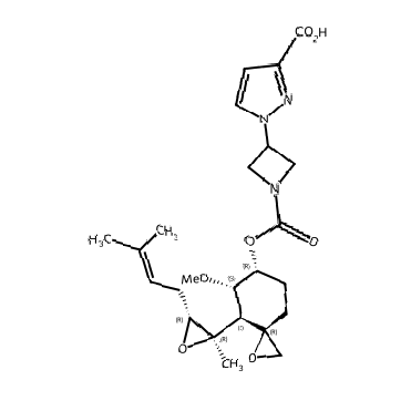 CO[C@@H]1[C@H](OC(=O)N2CC(n3ccc(C(=O)O)n3)C2)CC[C@]2(CO2)[C@H]1[C@@]1(C)O[C@@H]1CC=C(C)C